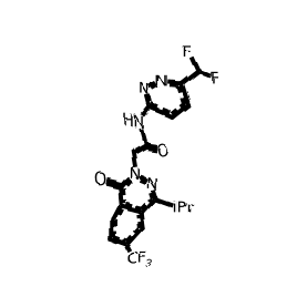 CC(C)c1nn(CC(=O)Nc2ccc(C(F)F)nn2)c(=O)c2ccc(C(F)(F)F)cc12